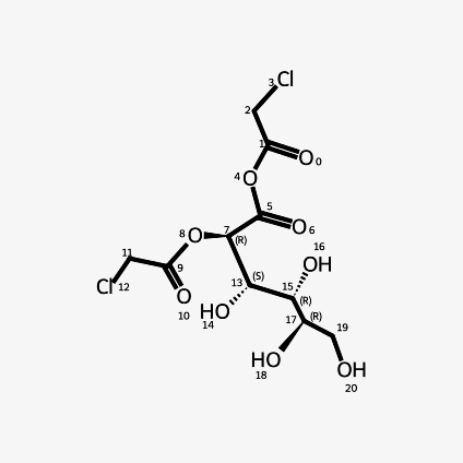 O=C(CCl)OC(=O)[C@H](OC(=O)CCl)[C@@H](O)[C@H](O)[C@H](O)CO